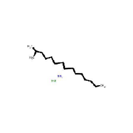 CCCCCCCCCCCCCC(C)C.Cl.N